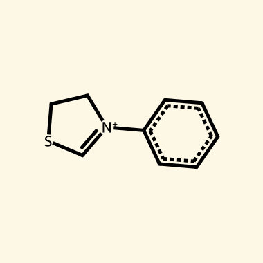 C1=[N+](c2ccccc2)CCS1